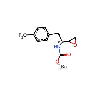 CC(C)(C)OC(=O)N[C@@H](Cc1ccc(C(F)(F)F)cc1)C1CO1